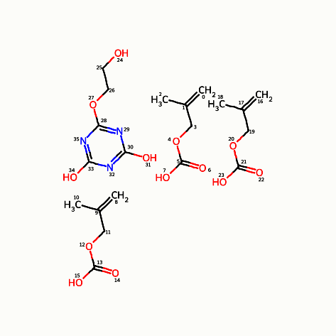 C=C(C)COC(=O)O.C=C(C)COC(=O)O.C=C(C)COC(=O)O.OCCOc1nc(O)nc(O)n1